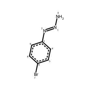 NN=Nc1ccc(Br)cc1